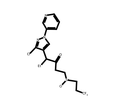 CCC(C(=O)CC[S+]([O-])CCC(F)(F)F)c1cn(-c2cccnc2)nc1Cl